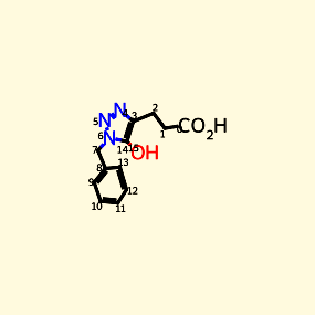 O=C(O)CCc1nnn(Cc2ccccc2)c1O